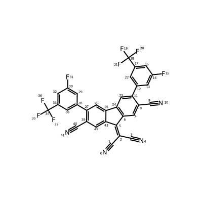 N#CC(C#N)=C1c2cc(C#N)c(-c3cc(F)cc(C(F)(F)F)c3)cc2-c2cc(-c3cc(F)cc(C(F)(F)F)c3)c(C#N)cc21